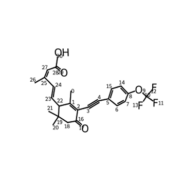 CC1=C(C#Cc2ccc(OC(F)(F)F)cc2)C(=O)CC(C)(C)C1/C=C/C(C)=C\C(=O)O